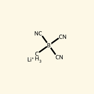 C[B-](C#N)(C#N)C#N.[Li+]